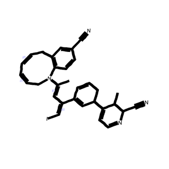 C/C(=C\C(=C/I)C1=CC(C2=CC=NC(C#N)C2C)CC=C1)N1C/C=C\C=C/Cc2cc(C#N)ccc21